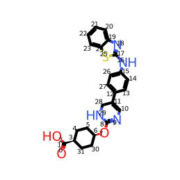 O=C(O)[C@H]1CC[C@@H](OC2=NC=C(c3ccc(Nc4nc5ccccc5s4)cc3)CN2)CC1